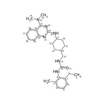 CCc1cccc(C)c1NC(=O)NCC1CCC(Nc2nc(N(C)C)c3ccccc3n2)CC1